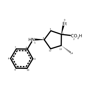 CC[C@]1(C(=O)O)C[C@H](Nc2ccccc2)C[C@H]1C